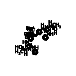 CC(CO)Nc1nc(NC2=CC=C(C=Cc3ccc(Nc4nc(Nc5ccccc5)nc(NC(C)CO)n4)cc3)C(S(=O)(=O)[O-])(S(=O)(=O)[O-])C2)nc(Nc2ccccc2)n1.[Na+].[Na+]